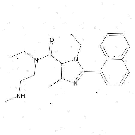 CCN(CCNC)C(=O)c1c(C)nc(-c2cccc3ccccc23)n1CC